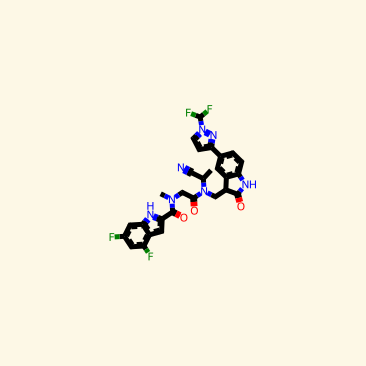 CC(C#N)N(CC1C(=O)Nc2ccc(-c3ccn(C(F)F)n3)cc21)C(=O)CN(C)C(=O)c1cc2c(F)cc(F)cc2[nH]1